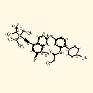 CCC(=O)Nc1cc(Nc2ncc3c(C#C[Si](C(C)C)(C(C)C)C(C)C)cc(=O)n(C)c3n2)ccc1N1CCN(C)CC1